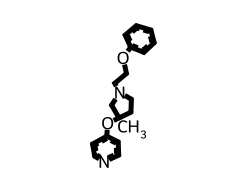 CC1(Oc2ccncc2)CCN(CCOc2ccccc2)C1